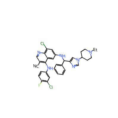 CCN1CCC(n2cnc(C(Nc3cc(Cl)c4ncc(C#N)c(Nc5ccc(F)c(Cl)c5)c4c3)c3ccccc3)c2)CC1